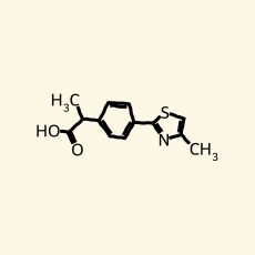 Cc1csc(-c2ccc(C(C)C(=O)O)cc2)n1